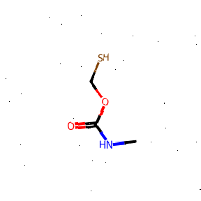 CNC(=O)OCS